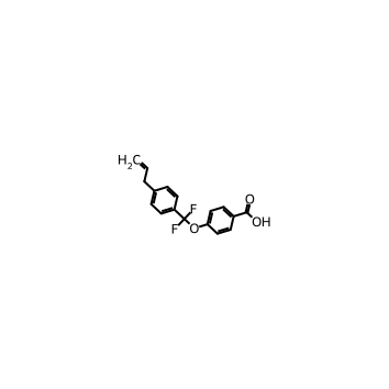 C=CCc1ccc(C(F)(F)Oc2ccc(C(=O)O)cc2)cc1